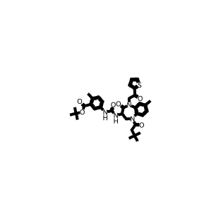 Cc1ccc2c(c1)N(CC(=O)c1cccs1)C(=O)C(NC(=O)Nc1ccc(C)c(C(=O)OC(C)(C)C)c1)CN2C(=O)CC(C)(C)C